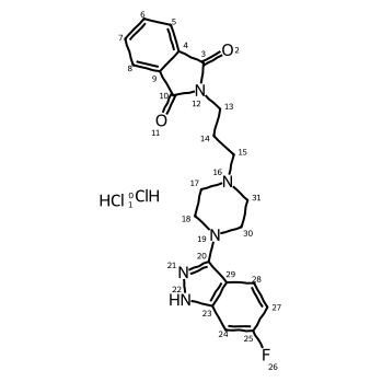 Cl.Cl.O=C1c2ccccc2C(=O)N1CCCN1CCN(c2n[nH]c3cc(F)ccc23)CC1